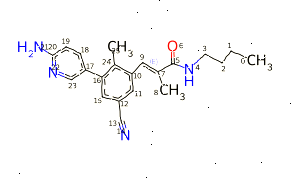 CCCCNC(=O)/C(C)=C/c1cc(C#N)cc(-c2ccc(N)nc2)c1C